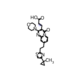 CC1(c2csc(CCc3ccn4c(=O)c(/C=C/C(=O)O)c(N5CCOCC5)nc4c3)n2)CC1